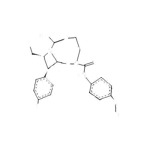 COc1ccc(NC(=O)N2CCCC(C)N3[C@H](CO)[C@H](c4ccc(Br)cc4)[C@@H]3C2)cc1